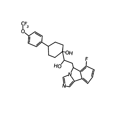 OC(CC1c2c(F)cccc2-c2cncn21)C1(O)CCC(c2ccc(OC(F)(F)F)cc2)CC1